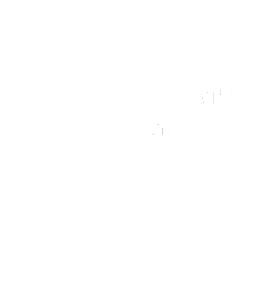 C1=C(C(c2ccccc2)c2ccccc2)c2ccccc2[CH]1[Zr+2](=[C]1CCCC1)[CH]1C=C(C(c2ccccc2)c2ccccc2)c2ccccc21.[Cl-].[Cl-]